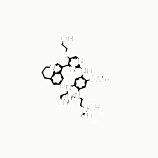 C=CC(=O)Nc1cc(Nc2ncc(SCCO)c(-c3cn4c5c(cccc35)CCC4)n2)c(OC)cc1N(C)CCN(C)C